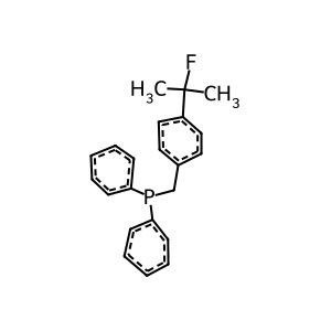 CC(C)(F)c1ccc(CP(c2ccccc2)c2ccccc2)cc1